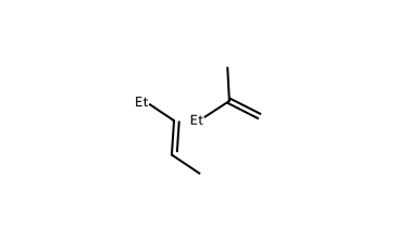 C=C(C)CC.CC=CCC